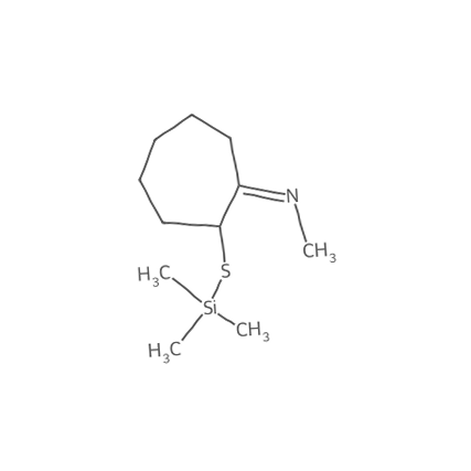 CN=C1CCCCCC1S[Si](C)(C)C